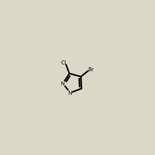 ClC1=N[N]C=C1Br